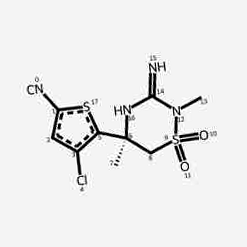 [C-]#[N+]c1cc(Cl)c([C@]2(C)CS(=O)(=O)N(C)C(=N)N2)s1